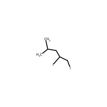 CC(C)CC(I)CI